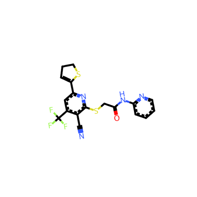 N#Cc1c(C(F)(F)F)cc(C2=CCCS2)nc1SCC(=O)Nc1ccccn1